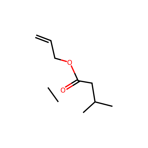 C=CCOC(=O)CC(C)C.CC